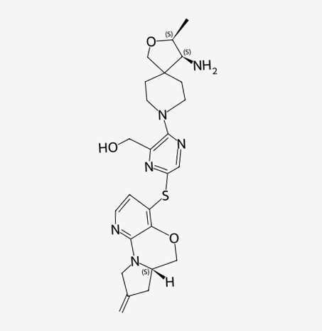 C=C1C[C@H]2COc3c(Sc4cnc(N5CCC6(CC5)CO[C@@H](C)[C@H]6N)c(CO)n4)ccnc3N2C1